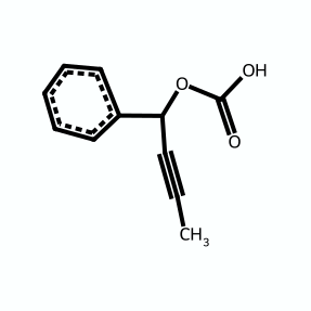 CC#CC(OC(=O)O)c1ccccc1